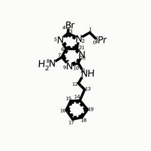 CC(C)Cn1c(Br)nc2c(N)nc(NCCc3ccccc3)nc21